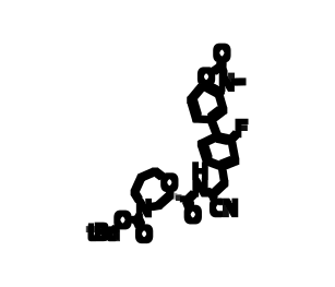 Cn1c(=O)oc2ccc(-c3ccc(CC(C#N)NC(=O)[C@@H]4CN(C(=O)OC(C)(C)C)CCCO4)cc3F)cc21